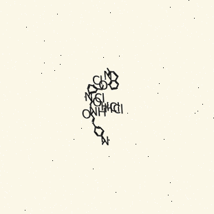 Cc1ccc2cccc(OCc3c(Cl)ccc(N(C)C(=O)CNC(=O)C=Cc4ccc(N(C)C)cc4)c3Cl)c2n1.Cl.Cl